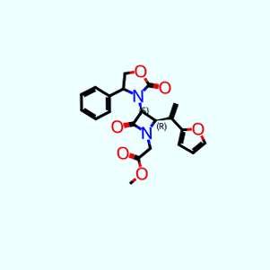 C=C(c1ccco1)[C@@H]1[C@H](N2C(=O)OCC2c2ccccc2)C(=O)N1CC(=O)OC